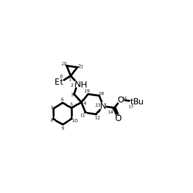 CCC1(NCC2(C3CCCCC3)CCN(C(=O)OC(C)(C)C)CC2)CC1